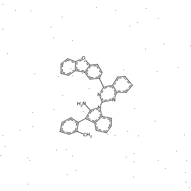 Cc1ccccc1-c1c(N)n(-c2nc(-c3ccc4oc5ccccc5c4c3)c3ccccc3n2)c2ccccc12